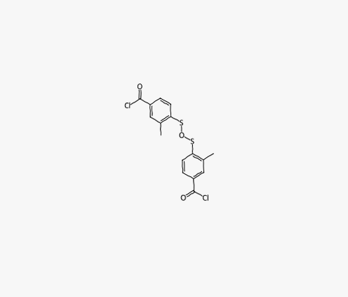 Cc1cc(C(=O)Cl)ccc1SOSc1ccc(C(=O)Cl)cc1C